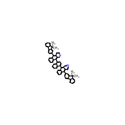 CC1(C)c2ccccc2-c2ccc(-c3c4ccccc4c(-c4ccc(-c5c6ccccc6c(-c6ccc7c(c6)C(C)(C)c6ccccc6-7)c6ccncc56)c5ccccc45)c4cnccc34)cc21